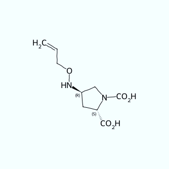 C=CCON[C@@H]1C[C@@H](C(=O)O)N(C(=O)O)C1